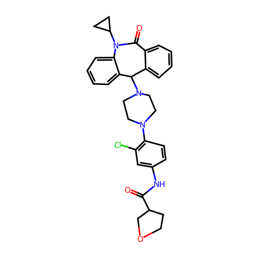 O=C(Nc1ccc(N2CCN(C3c4ccccc4C(=O)N(C4CC4)c4ccccc43)CC2)c(Cl)c1)C1CCOC1